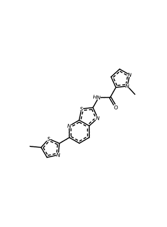 Cc1cnc(-c2ccc3nc(NC(=O)c4ccnn4C)sc3n2)s1